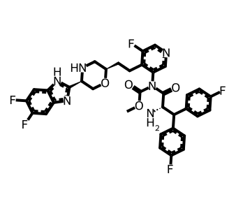 COC(=O)N(C(=O)[C@@H](N)C(c1ccc(F)cc1)c1ccc(F)cc1)c1cncc(F)c1CC[C@@H]1CN[C@H](c2nc3cc(F)c(F)cc3[nH]2)CO1